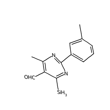 Cc1cccc(-c2nc(C)c(C=O)c([SiH3])n2)c1